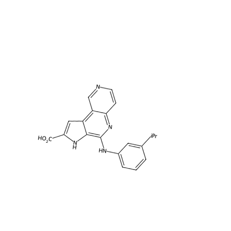 CC(C)c1cccc(Nc2nc3ccncc3c3cc(C(=O)O)[nH]c23)c1